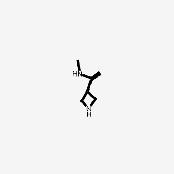 C=C(NC)C1CNC1